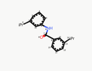 CC(C)c1cccc(NC(=O)c2cccc(C(C)C)c2)c1